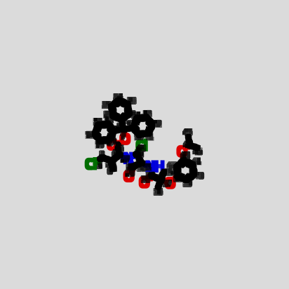 C=C(CCl)C(C(=O)OC(c1ccccc1)(c1ccccc1)c1ccccc1)N1C(=O)C(NC(=O)C(C)(C)Oc2cccc(OC(C)C)c2)C1Cl